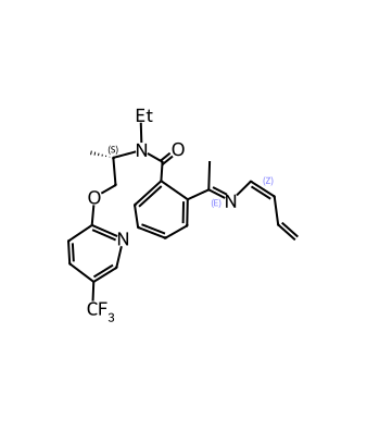 C=C/C=C\N=C(/C)c1ccccc1C(=O)N(CC)[C@@H](C)COc1ccc(C(F)(F)F)cn1